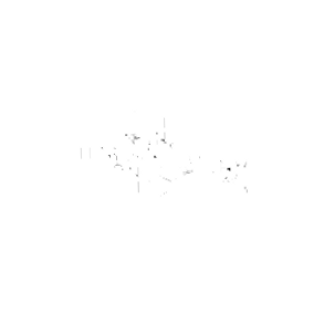 C=CS(=O)(=O)NCCC#Cc1cccc(Nc2nc(NC3CCOCC3)c(CC)nc2C(N)=O)c1